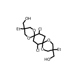 CCC1(CO)COC2(CC(Cl)C3(CC2Cl)OCC(CC)(CO)CO3)OC1